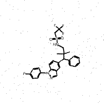 CC(C)(CNS(=O)(=O)CC(F)(F)F)C(c1ccccc1)c1ccc2c(cnn2-c2ccc(F)cc2)c1